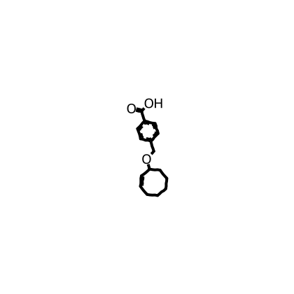 O=C(O)c1ccc(COC2/C=C\CCCCC2)cc1